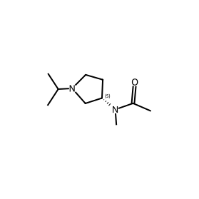 CC(=O)N(C)[C@H]1CCN(C(C)C)C1